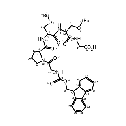 CC(C)(C)OC[C@H](NC(=O)[C@H](COC(C)(C)C)NC(=O)[C@@H]1CCCN1C(=O)CNC(=O)OCC1c2ccccc2-c2ccccc21)C(=O)NCC(=O)O